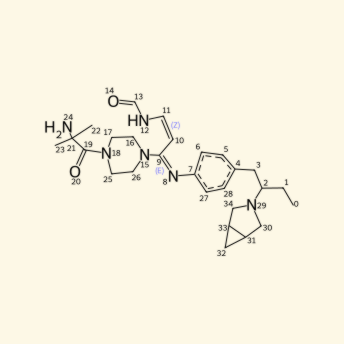 CCC(Cc1ccc(/N=C(\C=C/NC=O)N2CCN(C(=O)C(C)(C)N)CC2)cc1)N1CC2CC2C1